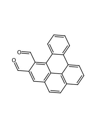 O=Cc1cc2ccc3cccc4c5ccccc5c(c1C=O)c2c34